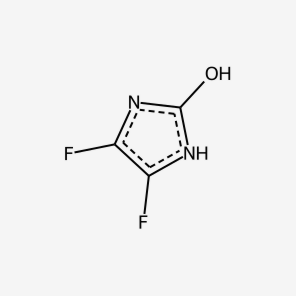 Oc1nc(F)c(F)[nH]1